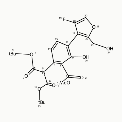 COC(=O)c1c(N(C(=O)OC(C)(C)C)C(=O)OC(C)(C)C)ccc(-c2c(F)coc2CO)c1O